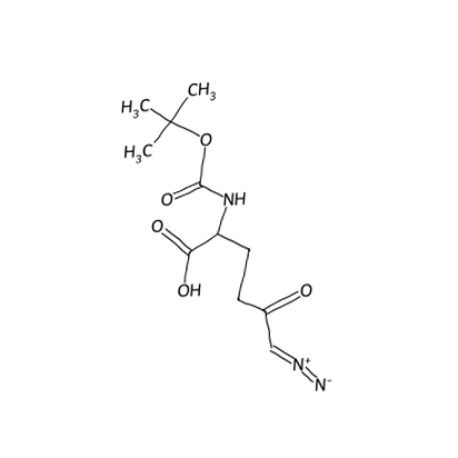 CC(C)(C)OC(=O)NC(CCC(=O)C=[N+]=[N-])C(=O)O